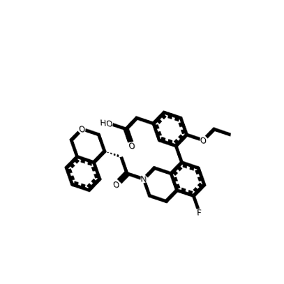 CCOc1ccc(CC(=O)O)cc1-c1ccc(F)c2c1CN(C(=O)C[C@H]1COCc3ccccc31)CC2